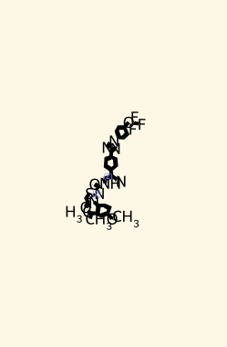 COc1ccc(N2C(=O)CS/C2=N\C(=O)N/C=C(\C#N)c2ccc(-c3ncn(-c4ccc(OC(F)(F)F)cc4)n3)cc2)c(C(C)C)c1